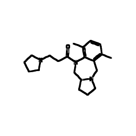 Cc1ccc(C)c2c1CN1CCCC1CN2C(=O)CCN1CCCC1